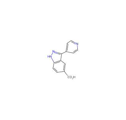 O=C(O)c1ccc2[nH]nc(-c3ccncc3)c2c1